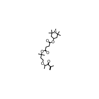 C=C(C)C(=O)C(C)OCCC(C)(C)OC(=O)CCC(=O)OC1CC(C)(C)N(C)C(C)(C)C1